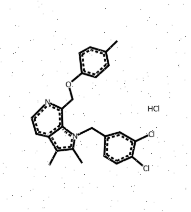 Cc1ccc(OCc2nccc3c(C)c(C)n(Cc4ccc(Cl)c(Cl)c4)c23)cc1.Cl